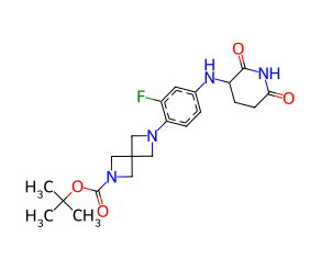 CC(C)(C)OC(=O)N1CC2(C1)CN(c1ccc(NC3CCC(=O)NC3=O)cc1F)C2